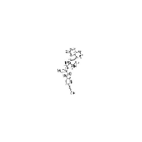 CC#Cc1ccc(NC(=O)C(C)[C@H]2C[C@H]3CC(c4ccnc5ccc(F)cc45)C[C@H]3C2)cn1